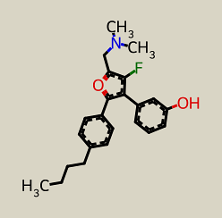 CCCCc1ccc(-c2oc(CN(C)C)c(F)c2-c2cccc(O)c2)cc1